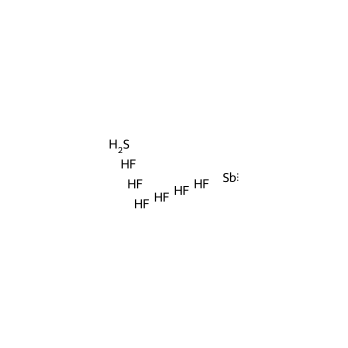 F.F.F.F.F.F.S.[Sb]